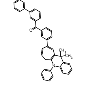 CC1(C)C2=C(CC=CC(c3cccc(C(=O)c4cccc(-c5ccccc5)c4)c3)=C2)N(c2ccccc2)c2ccccc21